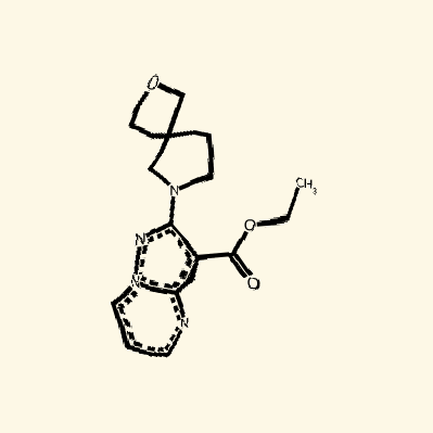 CCOC(=O)c1c(N2CCC3(COC3)C2)nn2cccnc12